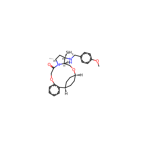 COc1ccc(CN[C@@]2([SiH3])C[C@@H](C)N3C(=O)COc4ccccc4[C@H]4CC[C@H](CC4)OC[C@H]32)cc1